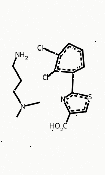 CN(C)CCCN.O=C(O)c1csc(-c2cccc(Cl)c2Cl)n1